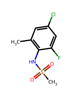 Cc1cc(Cl)cc(F)c1NS(C)(=O)=O